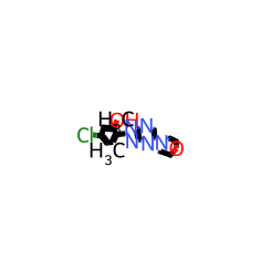 Cc1cc(Cl)cc(O)c1-c1nc2nc(N3CCOCC3)cnc2n1C